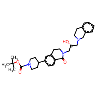 CC(C)(C)OC(=O)N1CCC(c2ccc3c(c2)CCN(C[C@H](O)CN2CCc4ccccc4C2)C3=O)CC1